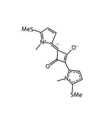 CSC1=[N+](C)/C(=C2\C(=O)C(c3ccc(SC)n3C)=C2[O-])C=C1